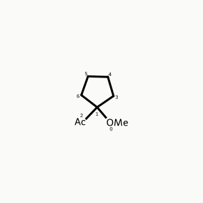 COC1(C(C)=O)CCCC1